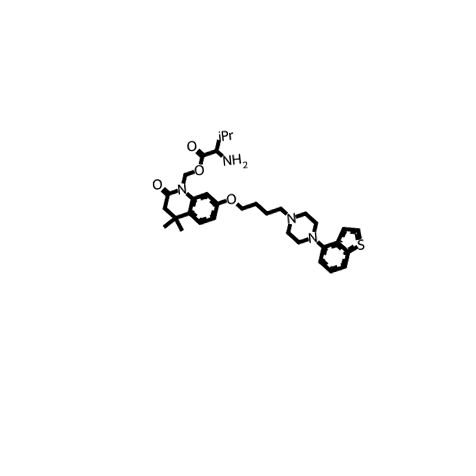 CC(C)C(N)C(=O)OCN1C(=O)CC(C)(C)c2ccc(OCCCCN3CCN(c4cccc5sccc45)CC3)cc21